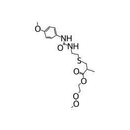 COOCCOC(=O)C(C)CSCCNC(=O)Nc1ccc(OC)cc1